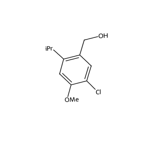 COc1cc(C(C)C)c(CO)cc1Cl